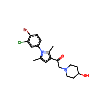 Cc1cc(C(=O)CN2CCC(O)CC2)c(C)n1-c1ccc(Br)c(Cl)c1